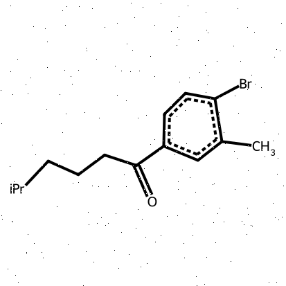 Cc1cc(C(=O)CCCC(C)C)ccc1Br